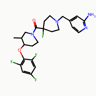 CC1CN(C(=O)C2(F)CCN(Cc3ccnc(N)c3)CC2)CCC1Oc1c(F)cc(F)cc1F